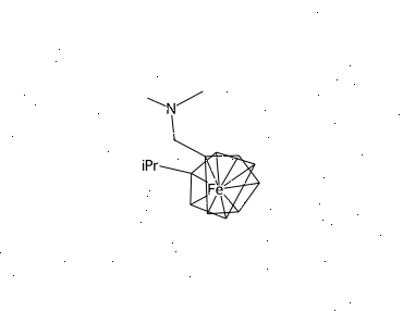 CC(C)[C]12[CH]3[CH]4[CH]5[CH]1[Fe]45321678[CH]2[CH]1[CH]6[C]7(CN(C)C)[CH]28